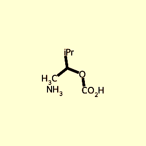 CC(C)C(C)OC(=O)O.N